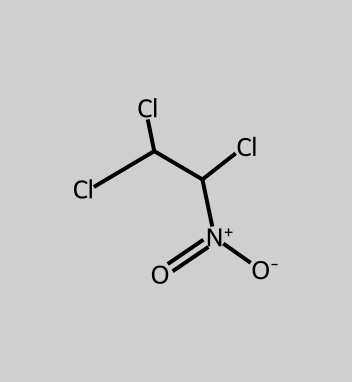 O=[N+]([O-])C(Cl)C(Cl)Cl